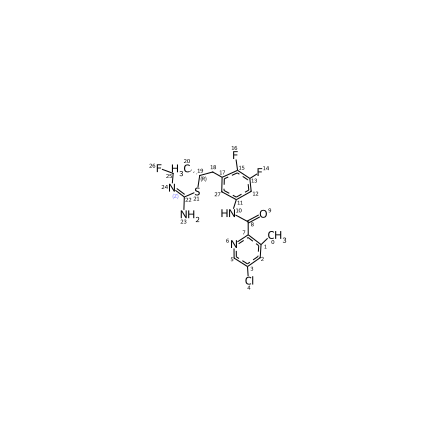 Cc1cc(Cl)cnc1C(=O)Nc1cc(F)c(F)c(C[C@@H](C)S/C(N)=N\CF)c1